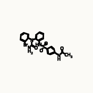 CC(=O)Nc1ccc(S(=O)(=O)Nc2ccccc2N(C(N)=O)c2ccccc2Br)cc1